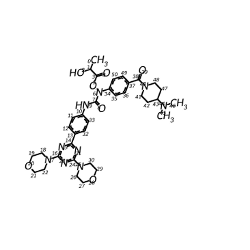 CC(O)C(=O)ON(C(=O)Nc1ccc(-c2nc(N3CCOCC3)nc(N3CCOCC3)n2)cc1)c1ccc(C(=O)N2CCC(N(C)C)CC2)cc1